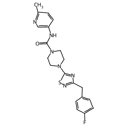 Cc1ccc(NC(=O)N2CCN(c3nc(Cc4ccc(F)cc4)ns3)CC2)cn1